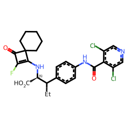 CCC(c1ccc(NC(=O)c2c(Cl)cncc2Cl)cc1)[C@H](NC1=C(F)C(=O)C12CCCCC2)C(=O)O